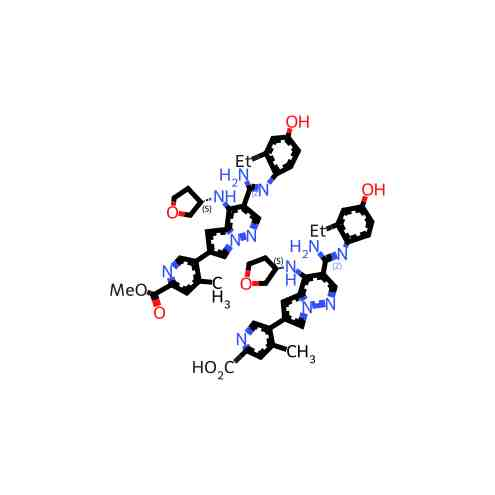 CCc1cc(O)ccc1/N=C(\N)c1cnn2cc(-c3cnc(C(=O)O)cc3C)cc2c1N[C@H]1CCOC1.CCc1cc(O)ccc1/N=C(\N)c1cnn2cc(-c3cnc(C(=O)OC)cc3C)cc2c1N[C@H]1CCOC1